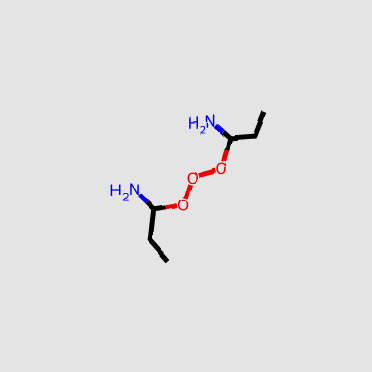 CCC(N)OOOC(N)CC